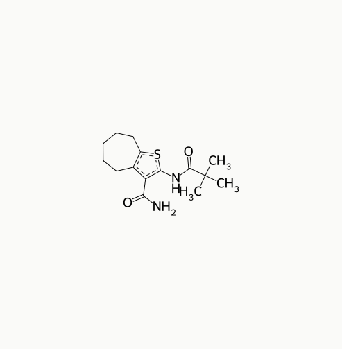 CC(C)(C)C(=O)Nc1sc2c(c1C(N)=O)CCCCC2